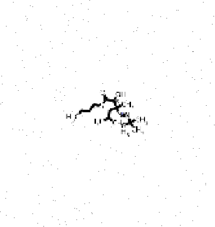 CCCCSC(=O)[C@@H](O)C(C)(CC(C)C)/N=N/C(C)(C)C